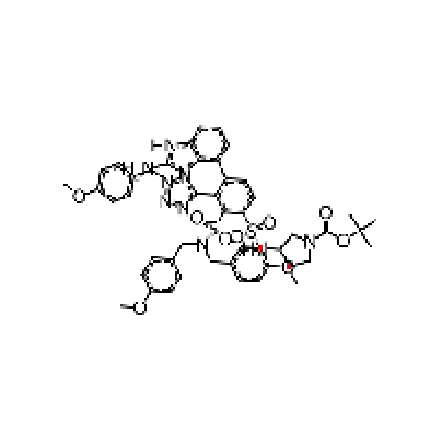 COc1ccc(CN(Cc2ccc(OC)cc2)S(=O)(=O)c2c(S(=O)(=O)NC3CCN(C(=O)OC(C)(C)C)C3)ccc(-c3cccc4[nH]c(N)nc34)c2-c2nnn(Cc3ccc(OC)cc3)n2)cc1